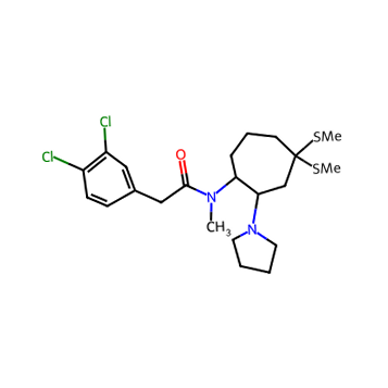 CSC1(SC)CCCC(N(C)C(=O)Cc2ccc(Cl)c(Cl)c2)C(N2CCCC2)C1